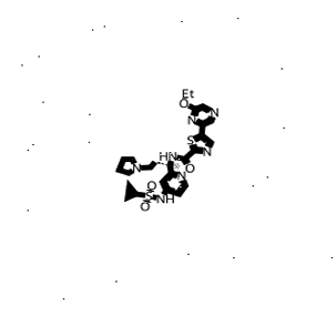 CCOc1cncc(-c2cnc(C(=O)N[C@@H](CCN3CCCC3)c3cc(NS(=O)(=O)C4CC4)ccn3)s2)n1